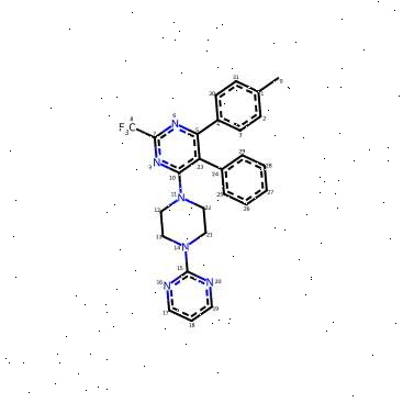 Cc1ccc(-c2nc(C(F)(F)F)nc(N3CCN(c4ncccn4)CC3)c2-c2ccccc2)cc1